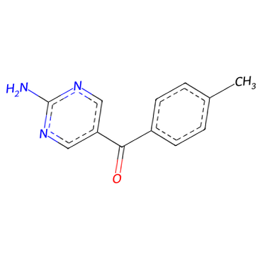 Cc1ccc(C(=O)c2cnc(N)nc2)cc1